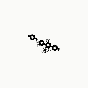 COc1cc(-c2ccc(F)cc2)c(OC)c(OS(C)(=O)=O)c1-c1ccc(OCc2ccc(C)cc2)c(F)c1